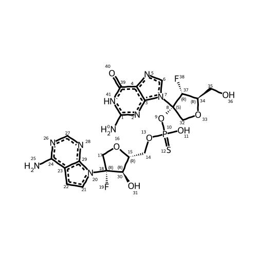 Nc1nc2c(ncn2[C@]2(OP(O)(=S)OC[C@H]3OC[C@](F)(n4ccc5c(N)ncnc54)[C@@H]3O)CO[C@H](CO)[C@H]2F)c(=O)[nH]1